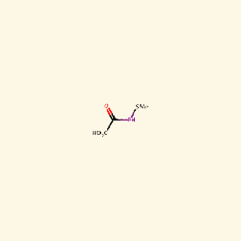 CSPC(=O)C(=O)O